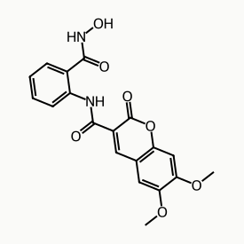 COc1cc2cc(C(=O)Nc3ccccc3C(=O)NO)c(=O)oc2cc1OC